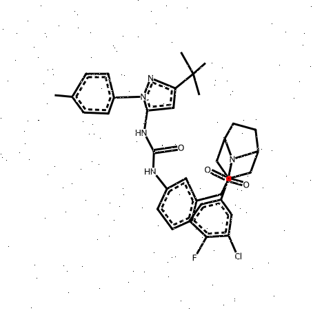 Cc1ccc(-n2nc(C(C)(C)C)cc2NC(=O)Nc2cccc(CC3CC4CCC(C3)N4S(=O)(=O)c3ccc(F)c(Cl)c3)c2)cc1